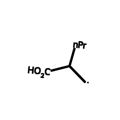 [CH2]C(CCC)C(=O)O